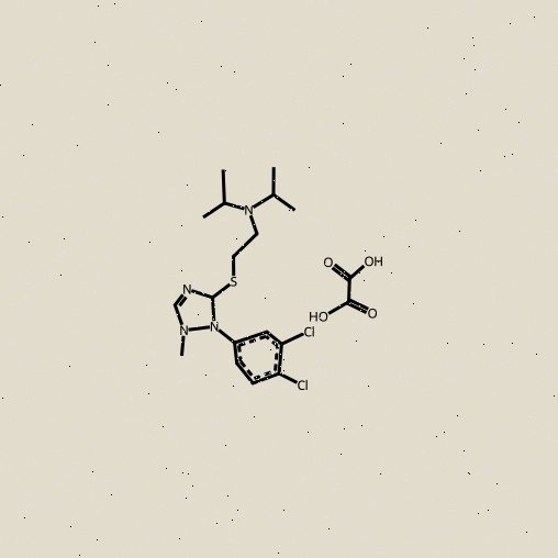 CC(C)N(CCSC1N=CN(C)N1c1ccc(Cl)c(Cl)c1)C(C)C.O=C(O)C(=O)O